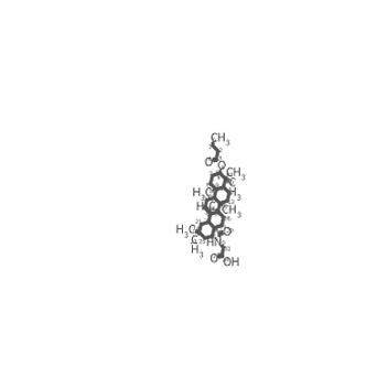 CCCC(=O)O[C@@H]1CC[C@@]2(C)C(CCC3(C)C2CC=C2C4CC(C)(C)CC[C@]4(C(=O)NCC(=O)O)CC[C@]23C)C1(C)C